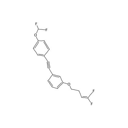 FC(F)=CCCOc1cccc(C#Cc2ccc(OC(F)F)cc2)c1